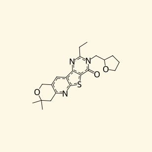 CCc1nc2c(sc3nc4c(cc32)COC(C)(C)C4)c(=O)n1CC1CCCO1